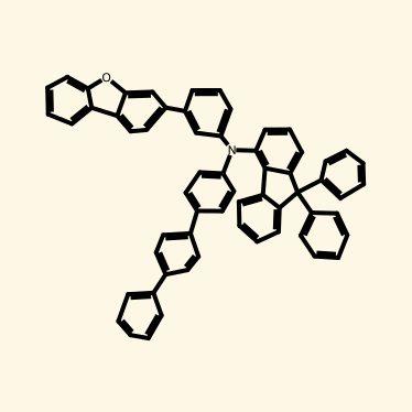 c1ccc(-c2ccc(-c3ccc(N(c4cccc(-c5ccc6c(c5)oc5ccccc56)c4)c4cccc5c4-c4ccccc4C5(c4ccccc4)c4ccccc4)cc3)cc2)cc1